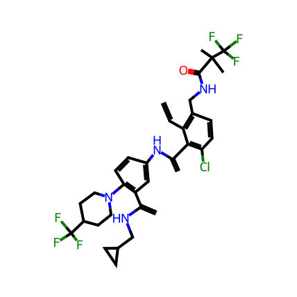 C=Cc1c(CNC(=O)C(C)(C)C(F)(F)F)ccc(Cl)c1C(=C)Nc1ccc(N2CCC(C(F)(F)F)CC2)c(C(=C)NCC2CC2)c1